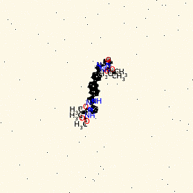 COC(=O)N[C@H](C(=O)N1CCC[C@H]1c1ncc(-c2ccc3cc(-c4ccc(-c5cnc([C@@H]6COCN6C(=O)OC(C)(C)C)[nH]5)cc4)ccc3c2)[nH]1)C(C)C